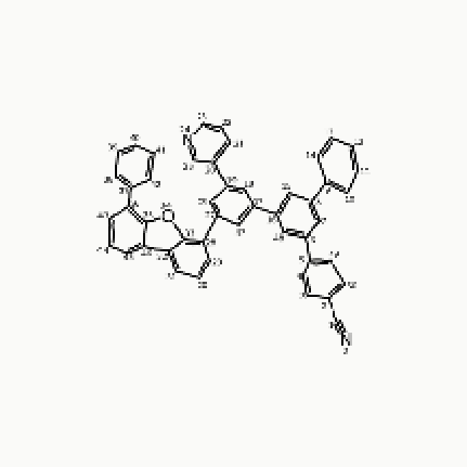 N#Cc1ccc(-c2cc(-c3ccccc3)cc(-c3cc(-c4cccnc4)cc(-c4cccc5c4oc4c(-c6ccccc6)cccc45)c3)c2)cc1